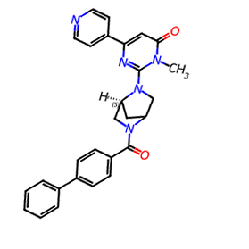 Cn1c(N2CC3C[C@H]2CN3C(=O)c2ccc(-c3ccccc3)cc2)nc(-c2ccncc2)cc1=O